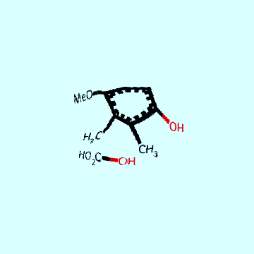 COc1ccc(O)c(C)c1C.O=C(O)O